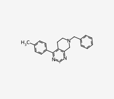 Cc1ccc(-c2n[c]nc3c2CCN(Cc2ccccc2)C3)cc1